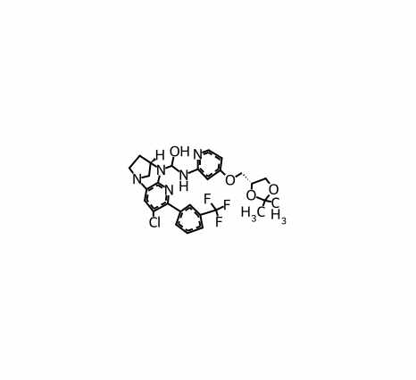 CC1(C)OC[C@@H](COc2ccnc(NC(O)N3c4nc(-c5cccc(C(F)(F)F)c5)c(Cl)cc4N4CC[C@H]3C4)c2)O1